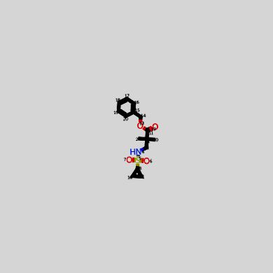 CC(C)(CNS(=O)(=O)C1CC1)C(=O)OCc1ccccc1